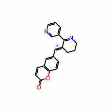 O=c1ccc2cc(/C=C3\CCCN=C3c3cccnc3)ccc2o1